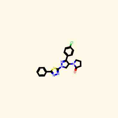 O=C1CCCN1C1CN(c2nnc(-c3ccccc3)s2)N=C1c1ccc(Cl)cc1